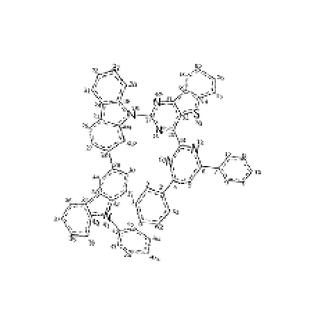 c1ccc(-c2cc(-c3ccccc3)nc(-c3nc(-n4c5ccccc5c5ccc(-c6ccc7c(c6)c6ccccc6n7-c6ccccc6)cc54)nc4c3sc3ccccc34)n2)cc1